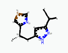 CC(C)c1cc(C[C@H](C)c2cscn2)[nH]n1